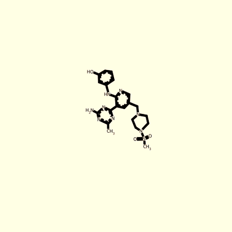 Cc1nc(N)nc(-c2cc(CN3CCN(S(C)(=O)=O)CC3)cnc2Nc2cccc(O)c2)n1